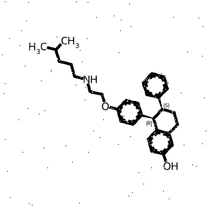 CC(C)CCCNCCOc1ccc([C@@H]2c3ccc(O)cc3CC[C@@H]2c2ccccc2)cc1